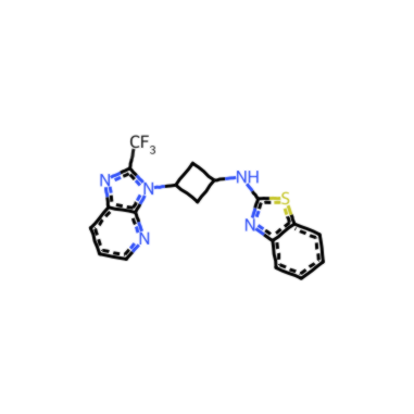 FC(F)(F)c1nc2cccnc2n1C1CC(Nc2nc3ccccc3s2)C1